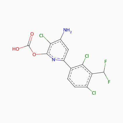 Nc1cc(-c2ccc(Cl)c(C(F)F)c2Cl)nc(OC(=O)O)c1Cl